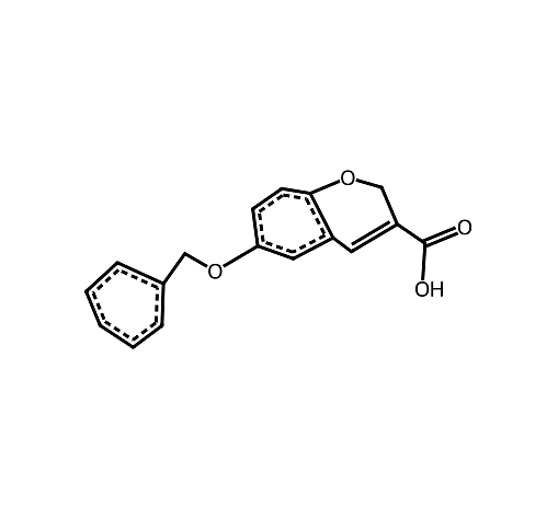 O=C(O)C1=Cc2cc(OCc3ccccc3)ccc2OC1